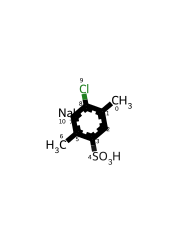 Cc1cc(S(=O)(=O)O)c(C)cc1Cl.[NaH]